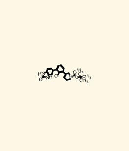 CC(C)(C)OC(=O)N1CCC=C(c2cccc(-c3ccc4[nH]c(=O)[nH]c4c3)c2Cl)C1